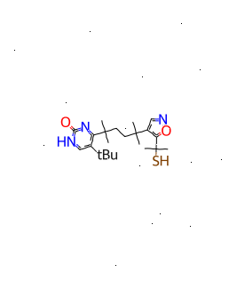 CC(C)(C)c1c[nH]c(=O)nc1C(C)(C)CCC(C)(C)c1cnoc1C(C)(C)S